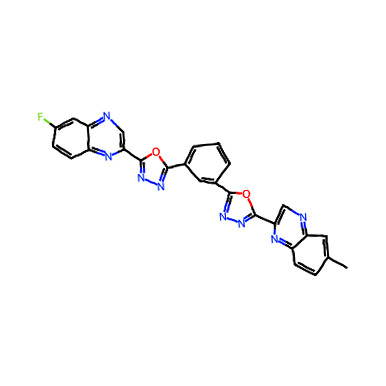 Cc1ccc2nc(-c3nnc(-c4cccc(-c5nnc(-c6cnc7cc(F)ccc7n6)o5)c4)o3)cnc2c1